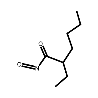 CCCCC(CC)C(=O)N=O